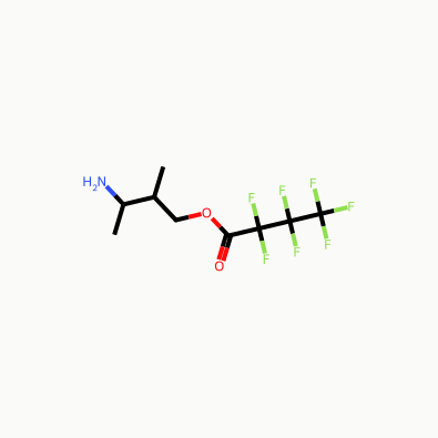 CC(N)C(C)COC(=O)C(F)(F)C(F)(F)C(F)(F)F